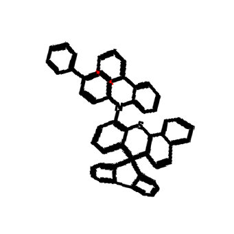 c1ccc(-c2ccc(N(c3ccccc3-c3ccccc3)c3cccc4c3Sc3c(ccc5ccccc35)C43c4ccccc4-c4ccccc43)cc2)cc1